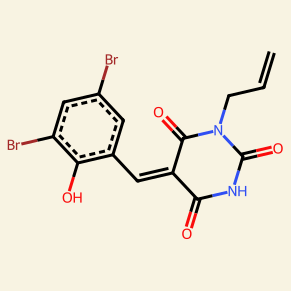 C=CCN1C(=O)NC(=O)C(=Cc2cc(Br)cc(Br)c2O)C1=O